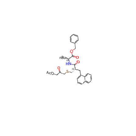 CCCC[C@H](NC(=O)[C@@H](CSCC(=O)COC(C)=O)Cc1cccc2ccccc12)C(=O)OCc1ccccc1